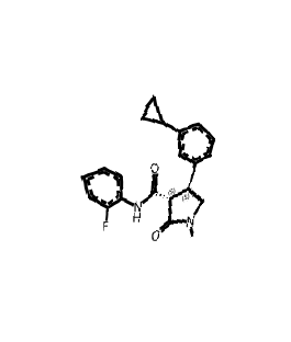 CN1C[C@H](c2cccc(C3CC3)c2)[C@@H](C(=O)Nc2ccccc2F)C1=O